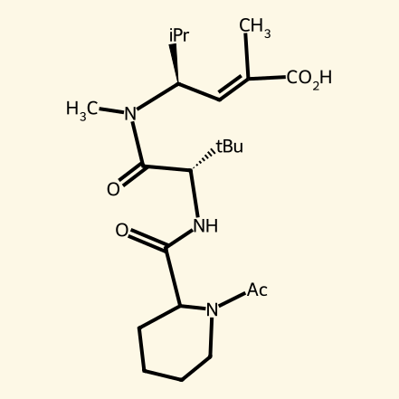 CC(=O)N1CCCCC1C(=O)N[C@H](C(=O)N(C)[C@H](/C=C(\C)C(=O)O)C(C)C)C(C)(C)C